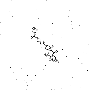 CCOC(=O)N1CC2(CC(N3C[C@@H]4C(C(=O)N(CC)C(C)C)[C@H]4C3)C2)C1